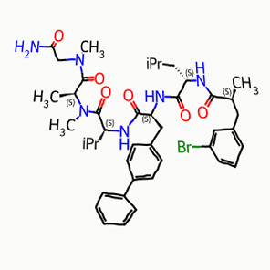 CC(C)C[C@H](NC(=O)[C@@H](C)Cc1cccc(Br)c1)C(=O)N[C@@H](Cc1ccc(-c2ccccc2)cc1)C(=O)N[C@H](C(=O)N(C)[C@@H](C)C(=O)N(C)CC(N)=O)C(C)C